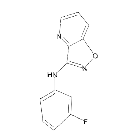 Fc1cccc(Nc2noc3cccnc23)c1